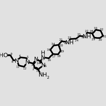 Nc1cc(N2CCN(CCO)CC2)nc(NCC2CCC(CNCCCNCC3CCCCC3)CC2)n1